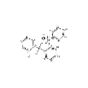 Cc1ccccc1C(C)(C)c1ccccc1[PH](=O)c1ccccc1